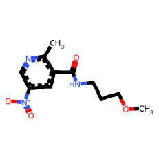 COCCCNC(=O)c1cc([N+](=O)[O-])cnc1C